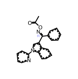 CC(=O)O/N=C(\c1ccccc1)c1cn(-c2ccccn2)c2ccccc12